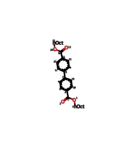 CCCCCCCCOC(=O)c1ccc(-c2ccc(C(=O)OCCCCCCCC)cc2)cc1